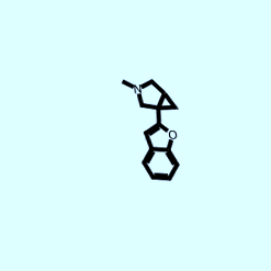 CN1CC2CC2(c2cc3ccccc3o2)C1